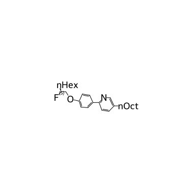 CCCCCCCCc1ccc(-c2ccc(OC[C@@H](F)CCCCCC)cc2)nc1